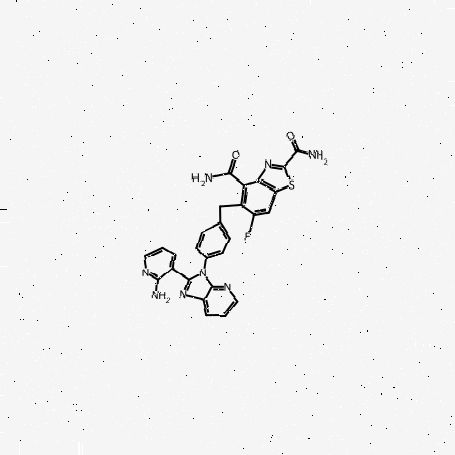 NC(=O)c1nc2c(C(N)=O)c(Cc3ccc(-n4c(-c5cccnc5N)nc5cccnc54)cc3)c(F)cc2s1